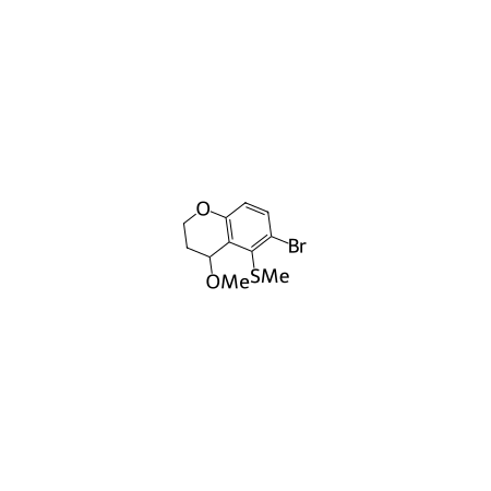 COC1CCOc2ccc(Br)c(SC)c21